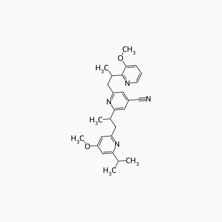 COc1cc(CC(C)c2cc(C#N)cc(CC(C)c3ncccc3OC)n2)nc(C(C)C)c1